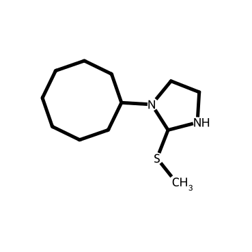 CSC1NCCN1C1CCCCCCC1